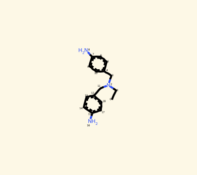 CCN(Cc1ccc(N)cc1)Cc1ccc(N)cc1